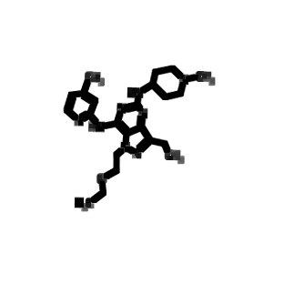 CCOCCn1nc(CC)c2nc(NC3CCN(C)CC3)nc(Nc3cc(C)ccn3)c21